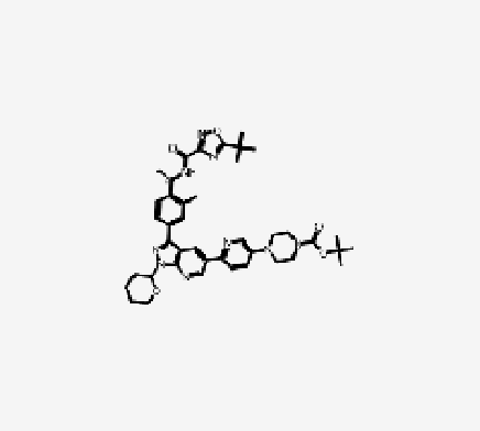 Cc1cc(-c2nn(C3CCCCO3)c3ncc(-c4ccc(N5CCN(C(=O)OC(C)(C)C)CC5)cn4)cc23)ccc1[C@@H](C)NC(=O)c1noc(C(C)(C)C)n1